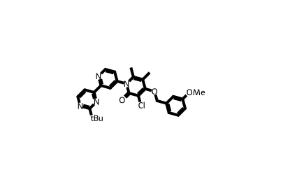 COc1cccc(COc2c(C)c(C)n(-c3ccnc(-c4ccnc(C(C)(C)C)n4)c3)c(=O)c2Cl)c1